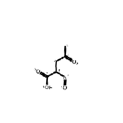 CC(=O)CC(N=O)C(=O)O